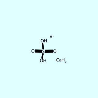 O=S(=O)(O)O.[CaH2].[V]